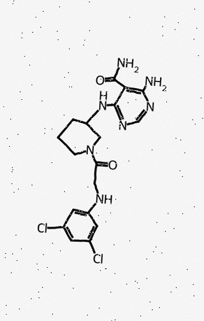 NC(=O)c1c(N)ncnc1NC1CCCN(C(=O)CNc2cc(Cl)cc(Cl)c2)C1